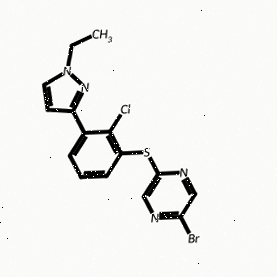 CCn1ccc(-c2cccc(Sc3cnc(Br)cn3)c2Cl)n1